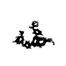 C=CC(=O)Nc1cccc(-c2cc(-c3ccc(Oc4cc(C5CC5)ccn4)cc3)cc3cnc(N)nc23)c1